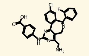 NCc1nc(Nc2ccc(C(=O)O)cc2)nc2c1CN=C(c1ccccc1F)c1cc(Cl)ccc1-2